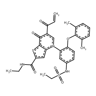 C=CC(=O)c1cn(-c2cc(NS(=O)(=O)CC)ccc2Oc2c(C)cccc2C)c2cc(C(=O)NCC)sc2c1=O